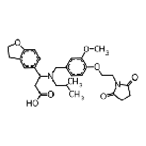 COc1cc(CN(CC(C)C)C(CC(=O)O)c2ccc3c(c2)CCO3)ccc1OCCN1C(=O)CCC1=O